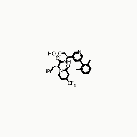 Cc1cccc(C)c1-c1cncc([C@H](CC(=O)O)NC(=O)[C@@H](CC(C)C)N2CCC(C(F)(F)F)CC2=O)c1